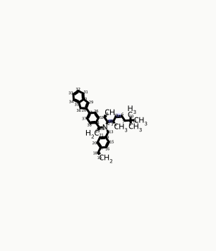 C=C/C(=C(C)\C=C/CC(C)(C)C)N(Cc1ccc(C=C)cc1)C(=C)c1ccc(C2=Cc3ccccc3C2)cc1